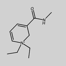 CC[N+]1(CC)C=CC=C(C(=O)NC)C1